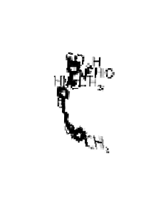 Cc1ccc(OCCCCCOc2ccc(NC(=O)C3CC(C(=O)O)CC3N(C)C=O)cc2)cc1